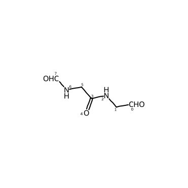 O=CCNC(=O)CNC=O